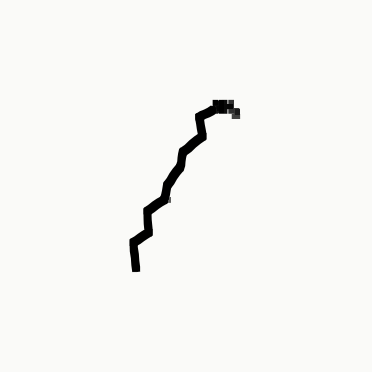 CCCC[CH]CCCCCN